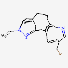 Cn1cc2c(n1)-c1cc(Br)cnc1CC2